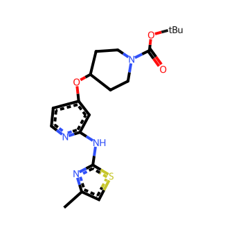 Cc1csc(Nc2cc(OC3CCN(C(=O)OC(C)(C)C)CC3)ccn2)n1